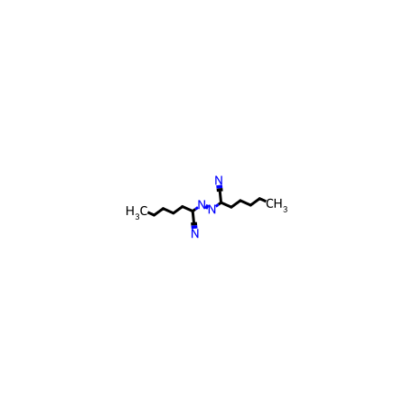 CCCCCC(C#N)/N=N/C(C#N)CCCCC